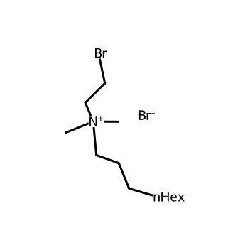 CCCCCCCCC[N+](C)(C)CCBr.[Br-]